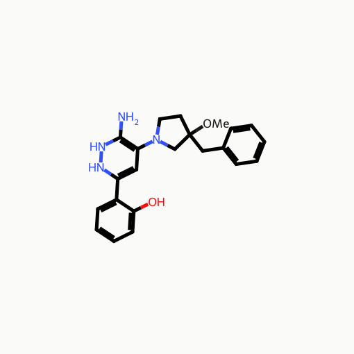 COC1(Cc2ccccc2)CCN(C2=C(N)NNC(c3ccccc3O)=C2)C1